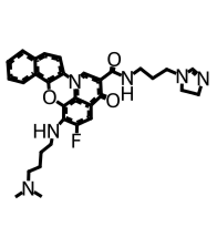 CN(C)CCCCNc1c(F)cc2c(=O)c(C(=O)NCCCN3C=NCC3)cn3c2c1Oc1c-3ccc2ccccc12